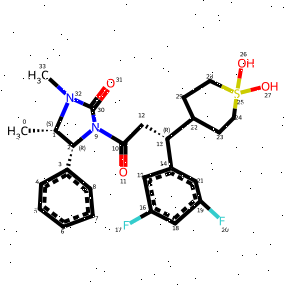 C[C@H]1[C@@H](c2ccccc2)N(C(=O)C[C@@H](c2cc(F)cc(F)c2)C2CCS(O)(O)CC2)C(=O)N1C